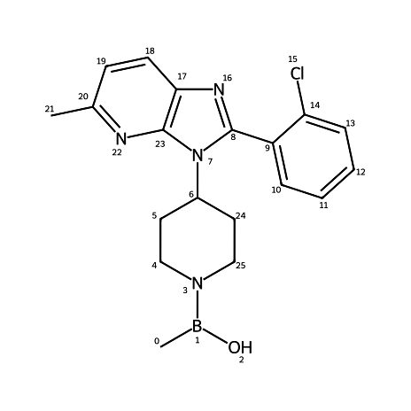 CB(O)N1CCC(n2c(-c3ccccc3Cl)nc3ccc(C)nc32)CC1